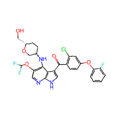 O=C(c1ccc(Oc2ccccc2F)cc1Cl)c1c[nH]c2ncc(OC(F)F)c(N[C@@H]3CC[C@@H](CO)OC3)c12